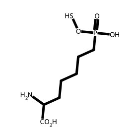 NC(CCCCCP(=O)(O)OS)C(=O)O